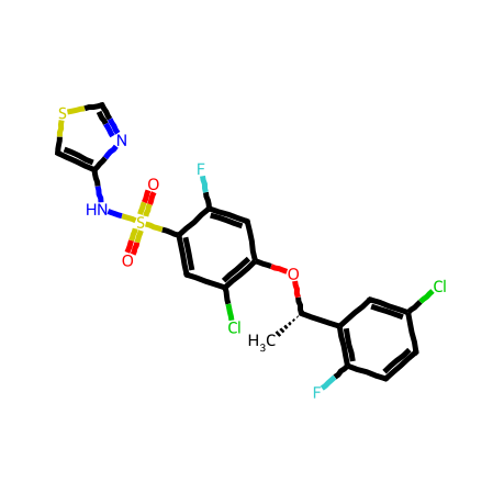 C[C@H](Oc1cc(F)c(S(=O)(=O)Nc2cscn2)cc1Cl)c1cc(Cl)ccc1F